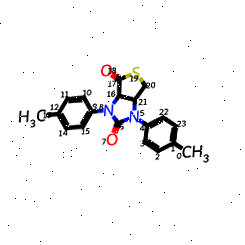 Cc1ccc(N2C(=O)N(c3ccc(C)cc3)C3C(=O)SCC32)cc1